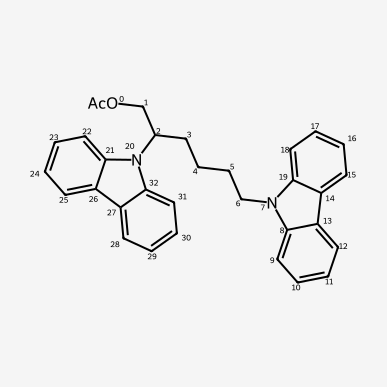 CC(=O)OCC(CCCCn1c2ccccc2c2ccccc21)n1c2ccccc2c2ccccc21